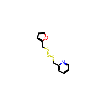 c1ccc(CSSSCc2ccco2)nc1